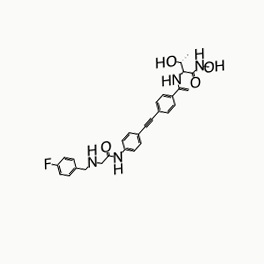 C=C(N[C@H](C(=O)NO)[C@@H](C)O)c1ccc(C#Cc2ccc(NC(=O)CNCc3ccc(F)cc3)cc2)cc1